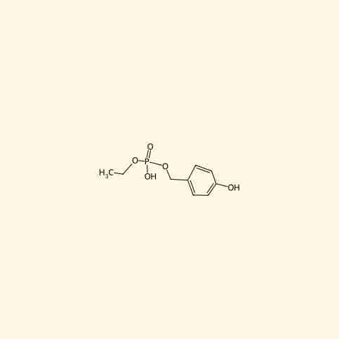 CCOP(=O)(O)OCc1ccc(O)cc1